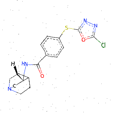 O=C(N[C@H]1CN2CCC1CC2)c1ccc(Sc2nnc(Cl)o2)cc1